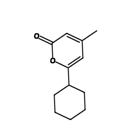 Cc1cc(C2CCCCC2)oc(=O)c1